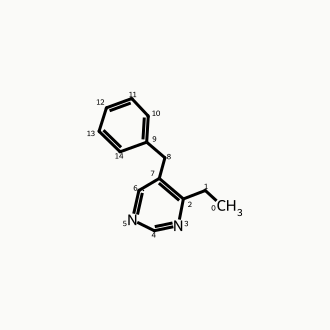 CCc1ncn[c]c1Cc1ccccc1